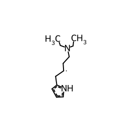 CCN(CC)CC[CH]Cc1ccc[nH]1